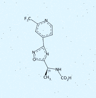 C[C@H](NC(=O)O)c1nc(-c2ccnc(C(F)(F)F)c2)no1